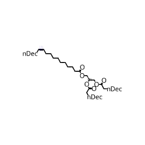 CCCCCCCCCC/C=C\CCCCCCCCCC(=O)OC[C@@H](COC(=O)CCCCCCCCCCC)OC(=O)CCCCCCCCCCC